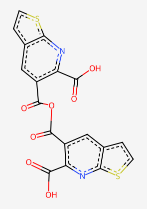 O=C(OC(=O)c1cc2ccsc2nc1C(=O)O)c1cc2ccsc2nc1C(=O)O